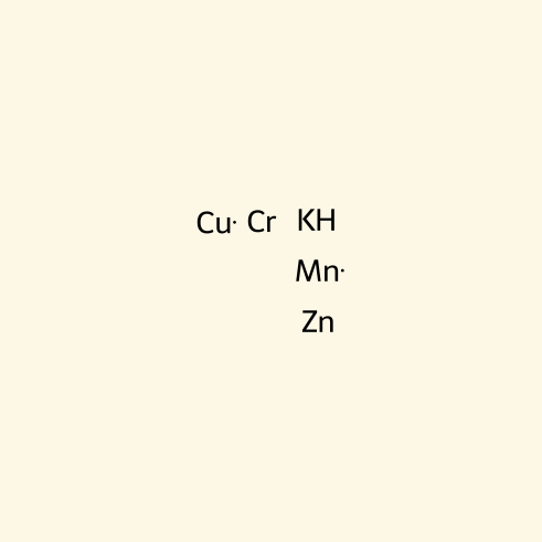 [Cr].[Cu].[KH].[Mn].[Zn]